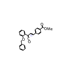 COC(=O)c1ccc(/C=C/C(=C=O)c2ccccc2OCc2ccccc2)cc1